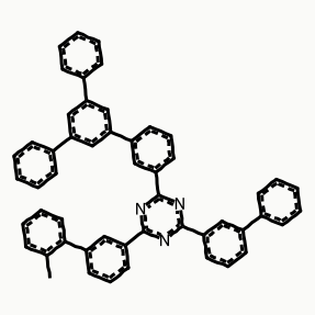 Cc1ccccc1-c1cccc(-c2nc(-c3cccc(-c4ccccc4)c3)nc(-c3cccc(-c4cc(-c5ccccc5)cc(-c5ccccc5)c4)c3)n2)c1